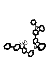 O=c1oc2cc(-c3ccccc3)ccc2c2ccc(-c3cccc(-n4c5ccccc5c5cc(-c6ccc7c(c6)c6ccccc6n7-c6ccccc6)ccc54)c3)cc12